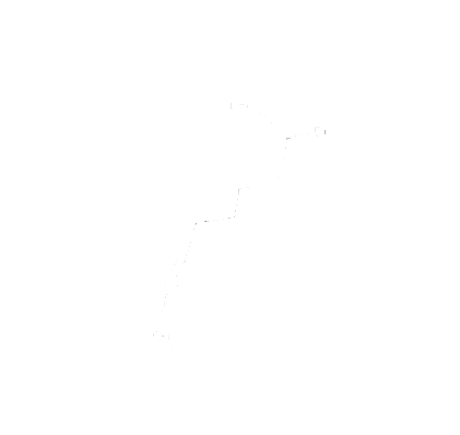 [CH2]C#CCCCCC(CC)CC[CH2]